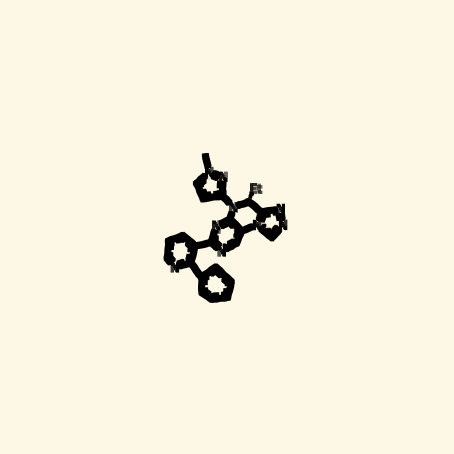 CC[C@@H]1c2nncn2-c2cnc(-c3cccnc3-c3ccccc3)nc2N1c1ccn(C)n1